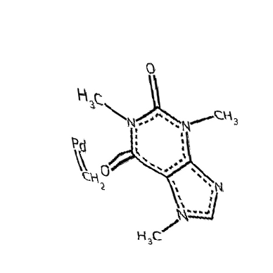 Cn1c(=O)c2c(ncn2C)n(C)c1=O.[CH2]=[Pd]